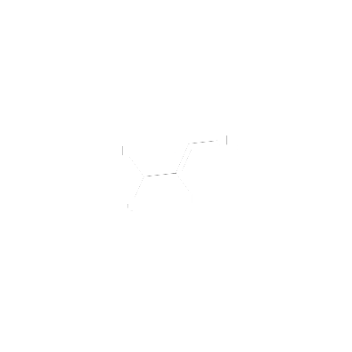 F/C(=C\C(F)(F)F)C(F)C(F)(F)F